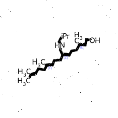 CC(C)=CCC/C(C)=C/CC/C(=C/CC/C(C)=C/CO)CNCC(C)C